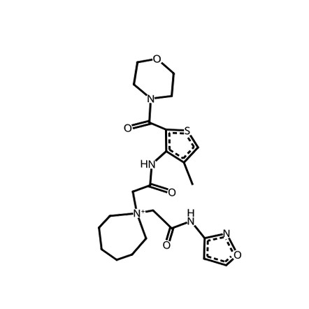 Cc1csc(C(=O)N2CCOCC2)c1NC(=O)C[N+]1(CC(=O)Nc2ccon2)CCCCCC1